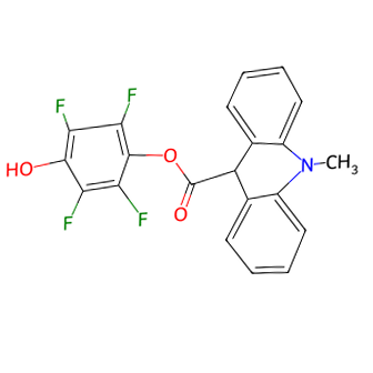 CN1c2ccccc2C(C(=O)Oc2c(F)c(F)c(O)c(F)c2F)c2ccccc21